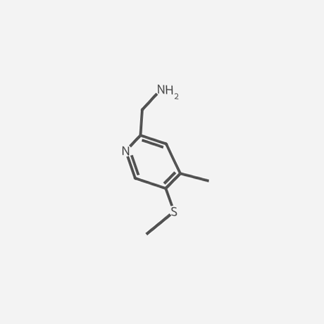 CSc1cnc(CN)cc1C